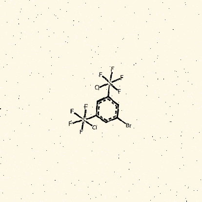 FS(F)(F)(F)(Cl)c1cc(Br)cc(S(F)(F)(F)(F)Cl)c1